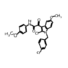 COc1ccc(NC(=O)C(=O)c2c(Cl)n(Cc3ccc(Cl)cc3)c3ccc(OC)cc23)cc1